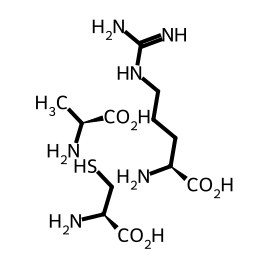 C[C@H](N)C(=O)O.N=C(N)NCCC[C@H](N)C(=O)O.N[C@@H](CS)C(=O)O